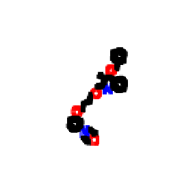 Cc1c(COCCCCOc2cccc(N3CCOCC3)c2)nc2ccccc2c1OCc1ccccc1